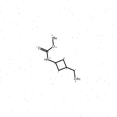 CC(=O)OCC1CC(NC(=O)OC(C)(C)C)C1